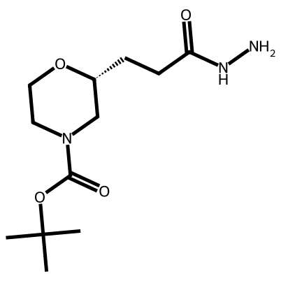 CC(C)(C)OC(=O)N1CCO[C@H](CCC(=O)NN)C1